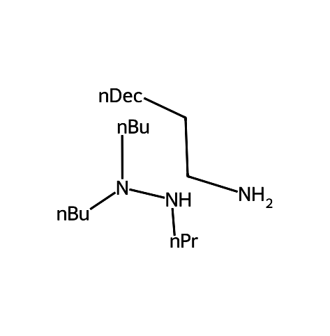 CCCCCCCCCCCCN.CCCCN(CCCC)NCCC